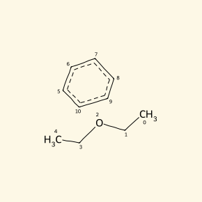 CCOCC.c1ccccc1